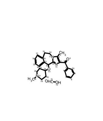 Cc1c(C(=O)c2ccccc2)nc2n1CCc1ccccc1C2OC1CCN(C)CC1.O=CO